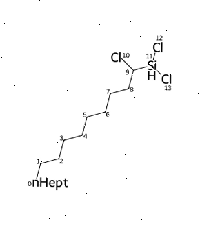 CCCCCCCCCCCCCCCC(Cl)[SiH](Cl)Cl